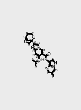 Cc1cnc2c(NC(=O)c3cn4cc([C@]56COC(CCO5)C6)nc4cc3OC(C)C)cnn2c1